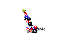 COC(=O)C1(NC(=O)[C@H](Cc2ccc(Oc3ccnc4c3c(C)cn4COCCS(C)(C)C)c(F)c2)NC(=O)OC(C)(C)C)CCCCC1